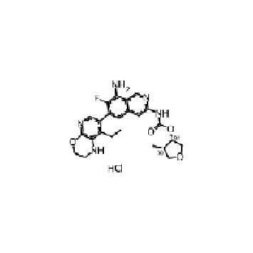 CCc1c(-c2cc3cc(NC(=O)O[C@@H]4COC[C@H]4C)ncc3c(N)c2F)cnc2c1NCCO2.Cl